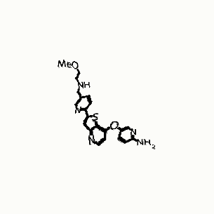 COCCNCc1ccc(-c2cc3nccc(Oc4ccc(N)nc4)c3s2)nc1